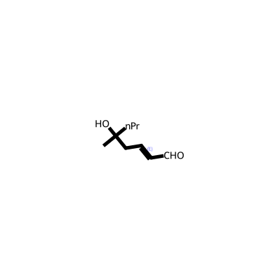 CCCC(C)(O)C/C=C/C=O